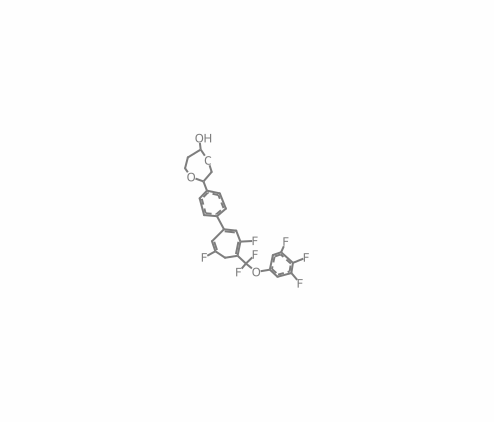 OC1CCOC(c2ccc(C3=CC(F)=C(C(F)(F)Oc4cc(F)c(F)c(F)c4)CC(F)=C3)cc2)CC1